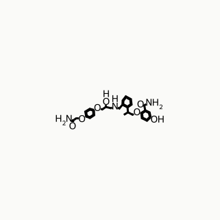 CC(COc1ccc(O)cc1C(N)=O)c1ccccc1CNCC(O)COc1ccc(OCC(N)=O)cc1